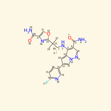 C[C@@H](Nc1c(C(N)=O)cnn2cc(-c3ccc(F)nc3)cc12)C(C)(C)c1nc(C(N)=O)co1